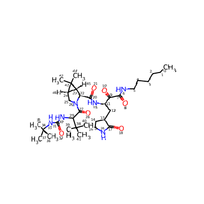 CCCCCCNC(=O)C(=O)C(CC1CCNC1=O)NC(=O)[C@@H]1[C@@H]2[C@H](CN1C(=O)C(NC(=O)NC(C)(C)C)C(C)(C)C)C2(C)C